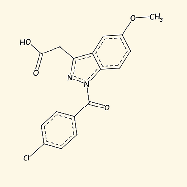 COc1ccc2c(c1)c(CC(=O)O)nn2C(=O)c1ccc(Cl)cc1